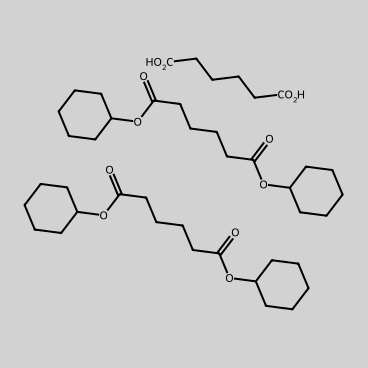 O=C(CCCCC(=O)OC1CCCCC1)OC1CCCCC1.O=C(CCCCC(=O)OC1CCCCC1)OC1CCCCC1.O=C(O)CCCCC(=O)O